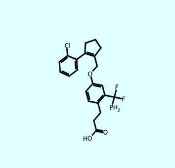 O=C(O)CCc1ccc(OCC2=C(c3ccccc3Cl)CCC2)cc1C(F)(F)P